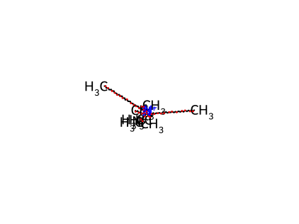 CCCCCCCCCCCCCCCCCCCCCCCCCCCc1cc(CC)cc(C2=C(CCCC)C(CCCCCC)=C(c3cc(CC)cc(CCCCCCCCCCCCCCCCCCCCCCCCCCC)c3)[N+]2=[N-])c1.C[CH2][Ni][CH2]C